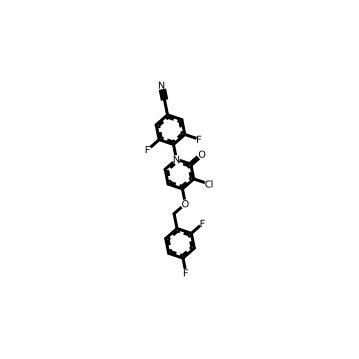 N#Cc1cc(F)c(-n2ccc(OCc3ccc(F)cc3F)c(Cl)c2=O)c(F)c1